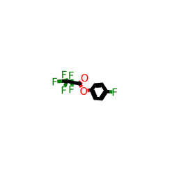 O=C(Oc1ccc(F)cc1)C(F)(F)C(F)(F)F